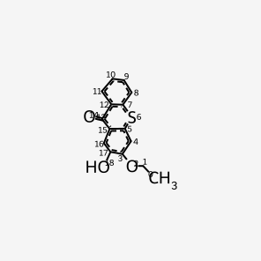 CCOc1cc2sc3ccccc3c(=O)c2cc1O